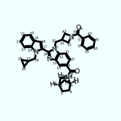 N[C@@H]1[C@@H]2CC[C@H]1N(C(=O)c1ccc3c(c1)nc(-c1cc4ccccc4n1CC1CC1)n3CC1CN(C(=O)c3ccccc3)C1)C2